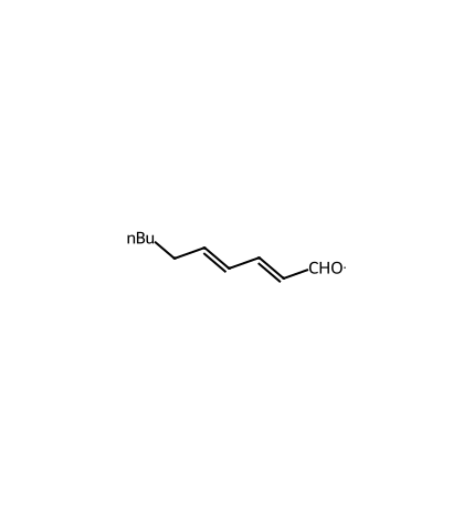 CCCCC/C=C/C=C/[C]=O